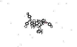 COc1ccc(CNc2nccnc2C(C)N2C=C(OCC34CCN3CC(F)(F)C4)Oc3c(F)c(-c4nc(N(Cc5ccc(OC)cc5)Cc5ccc(OC)cc5)cc(C)c4C(F)(F)F)c(Cl)c4c3=C2NCN=4)cc1